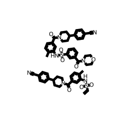 C=CS(=O)(=O)Nc1cc(C(=O)N2CCC(c3ccc(C#N)cc3)CC2)ccc1C.Cc1ccc(C(=O)N2CCC(c3ccc(C#N)cc3)CC2)cc1NS(=O)(=O)c1cccc(C(=O)N2CCOCC2)c1